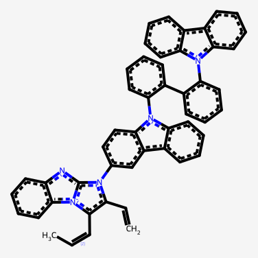 C=Cc1c(/C=C\C)n2c3ccccc3nc2n1-c1ccc2c(c1)c1ccccc1n2-c1ccccc1-c1ccccc1-n1c2ccccc2c2ccccc21